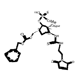 CO[C@H]1C(OP(O)(=S)OC)[C@@H](COC(=O)OCc2ccccc2)C[C@@H]1NC(=S)NCCN1C(=O)C=CC1=O